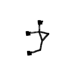 BrCC1CC1(Br)Br